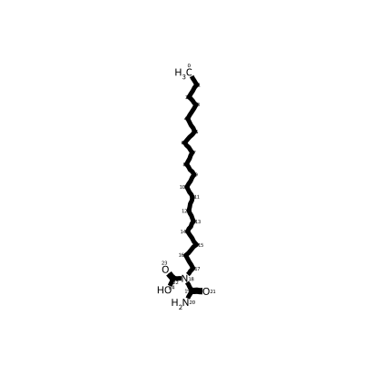 CCCCCCCCCCCCCCCCCCN(C(N)=O)C(=O)O